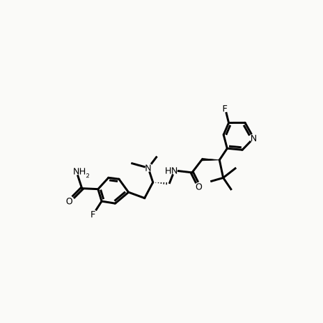 CN(C)[C@H](CNC(=O)C[C@@H](c1cncc(F)c1)C(C)(C)C)Cc1ccc(C(N)=O)c(F)c1